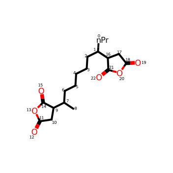 CCCC(CCCCCC(C)C1CC(=O)OC1=O)C1CC(=O)OC1=O